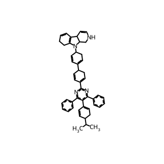 CC(C)C1C=CC(c2c(-c3ccccc3)nc(C3=CCC(C4=CCC(N5C6=C(C=CCC6)C6C=CNCC65)C=C4)C=C3)nc2-c2ccccc2)=CC1